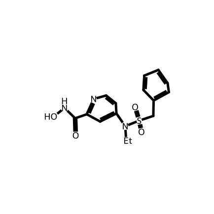 CCN(c1ccnc(C(=O)NO)c1)S(=O)(=O)Cc1ccccc1